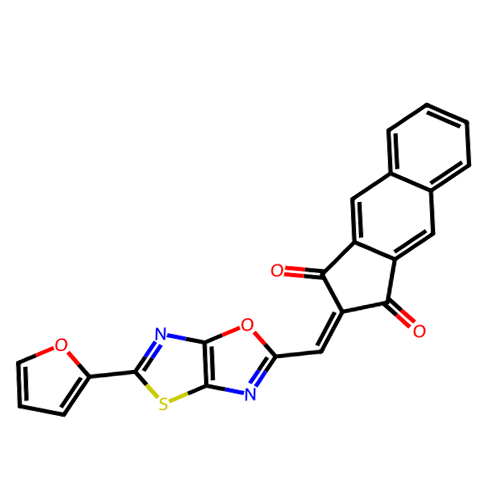 O=C1C(=Cc2nc3sc(-c4ccco4)nc3o2)C(=O)c2cc3ccccc3cc21